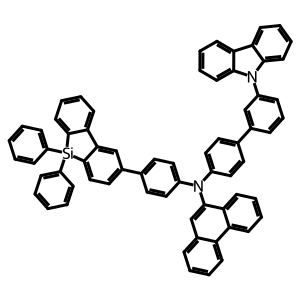 c1ccc([Si]2(c3ccccc3)c3ccccc3-c3cc(-c4ccc(N(c5ccc(-c6cccc(-n7c8ccccc8c8ccccc87)c6)cc5)c5cc6ccccc6c6ccccc56)cc4)ccc32)cc1